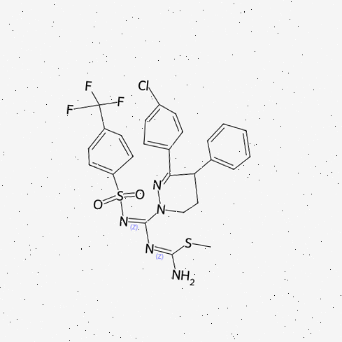 CS/C(N)=N\C(=N\S(=O)(=O)c1ccc(C(F)(F)F)cc1)N1CCC(c2ccccc2)C(c2ccc(Cl)cc2)=N1